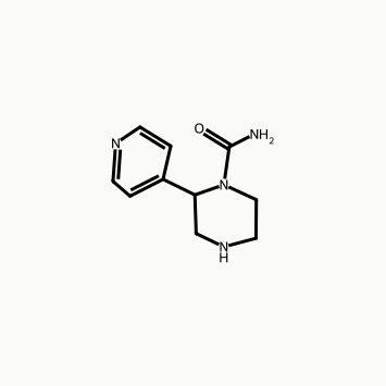 NC(=O)N1CCNCC1c1ccncc1